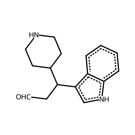 O=CCC(c1c[nH]c2ccccc12)C1CCNCC1